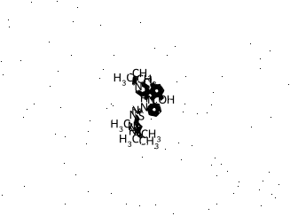 Cn1nc(C(C)(C)C)cc1-c1nnc(Nc2ccccc2N2CC3(CCN(CC(C)(C)C)CC3)c3c(Cl)ccc(O)c32)s1